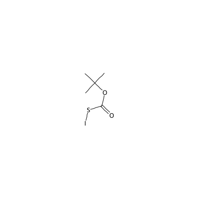 CC(C)(C)OC(=O)SI